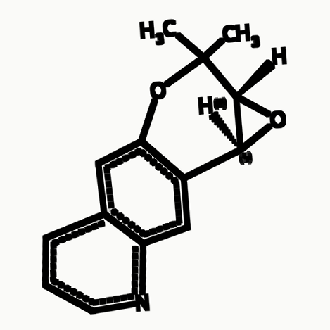 CC1(C)Oc2cc3cccnc3cc2[C@@H]2O[C@H]21